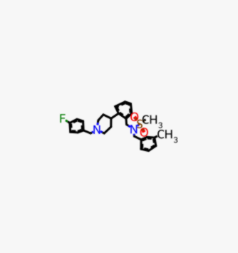 Cc1cccc(CN(Cc2ccccc2C2CCN(Cc3ccc(F)cc3)CC2)S(C)(=O)=O)c1